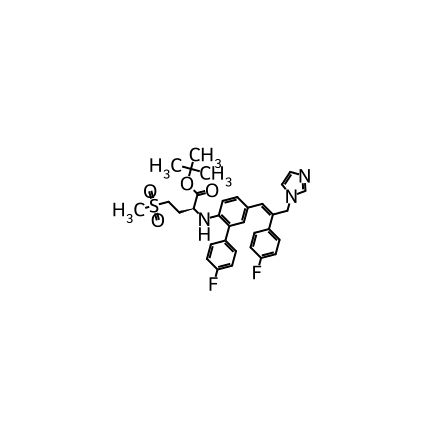 CC(C)(C)OC(=O)[C@H](CCS(C)(=O)=O)Nc1ccc(/C=C(/Cn2ccnc2)c2ccc(F)cc2)cc1-c1ccc(F)cc1